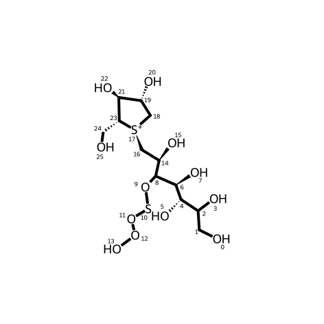 OCC(O)[C@H](O)[C@H](O)C(OSOOO)[C@H](O)C[S@+]1C[C@@H](O)[C@H](O)[C@H]1CO